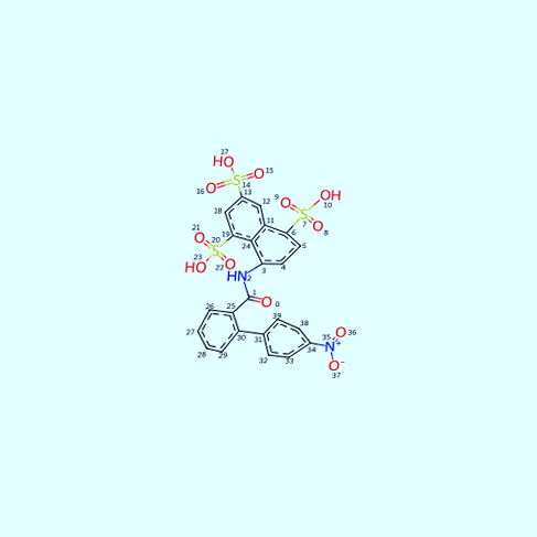 O=C(Nc1ccc(S(=O)(=O)O)c2cc(S(=O)(=O)O)cc(S(=O)(=O)O)c12)c1ccccc1-c1ccc([N+](=O)[O-])cc1